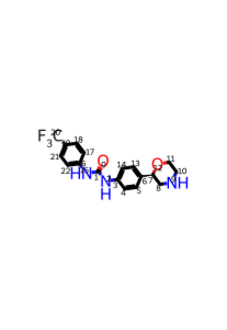 O=C(Nc1ccc([C@@H]2CNCCO2)cc1)Nc1ccc(C(F)(F)F)cc1